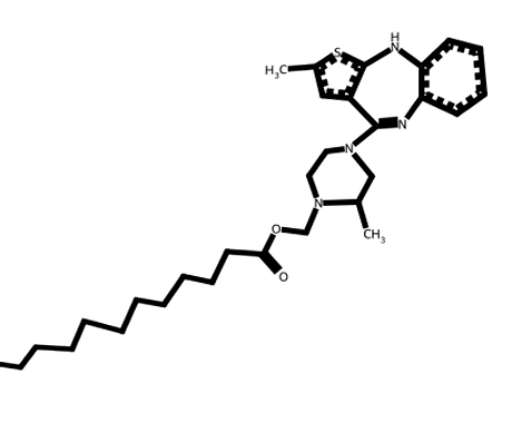 CCCCCCCCCCCC(=O)OCN1CCN(C2=Nc3ccccc3Nc3sc(C)cc32)CC1C